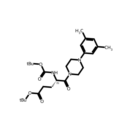 Cc1cc(C)cc(N2CCN(C(=O)[C@H](CCC(=O)OC(C)(C)C)NC(=O)OC(C)(C)C)CC2)c1